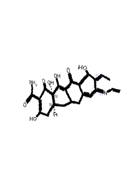 C=C/N=C1/C=C2CC3C[C@H]4CC(O)=C(C(N)=O)C(=O)[C@@]4(O)C(O)=C3C(=O)C2=C(O)/C1=C/C